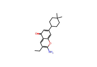 CCc1cc2c(=O)cc(C3CCC(C)(C)CC3)cc-2oc1N